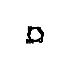 [C]1=CONC=N1